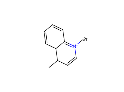 CC1C=C[N+](C(C)C)=C2C=CC=CC21